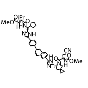 COC(=O)N[C@@H](CCC#N)C(=O)N1CC2(CC2)C[C@H]1c1ncc(-c2ccc3cc(-c4ccc(-c5cnc([C@@H](NC(=O)[C@@H](NC(=O)OC)C(C)C)C6CCCC6)[nH]5)cc4)ccc3c2)[nH]1